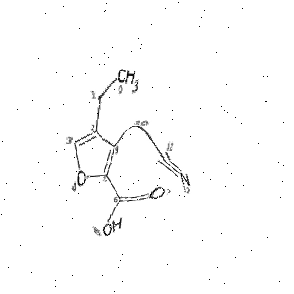 CCc1coc(C(=O)O)c1CC#N